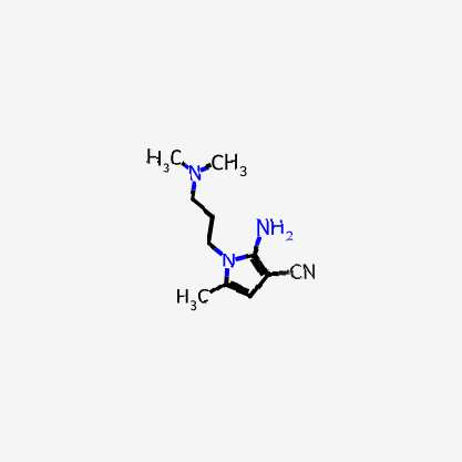 Cc1cc(C#N)c(N)n1CCCN(C)C